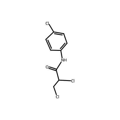 O=C(Nc1ccc(Cl)cc1)C(Cl)CCl